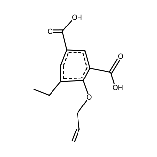 C=CCOc1c(CC)cc(C(=O)O)cc1C(=O)O